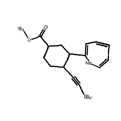 CC(C)(C)C#CC1CCC(C(=O)OC(C)(C)C)CC1C1=CC=CC=CN1